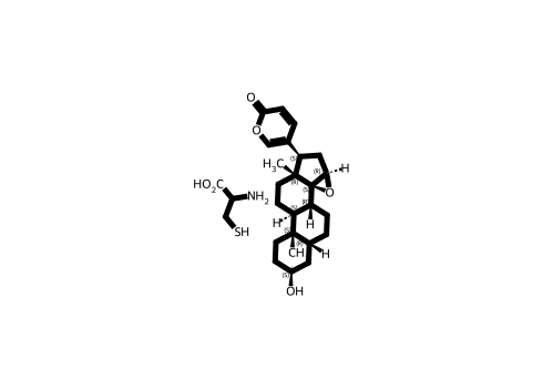 C[C@]12CC[C@H](O)C[C@H]1CC[C@@H]1[C@@H]2CC[C@]2(C)[C@@H](c3ccc(=O)oc3)C[C@H]3O[C@]132.NC(CS)C(=O)O